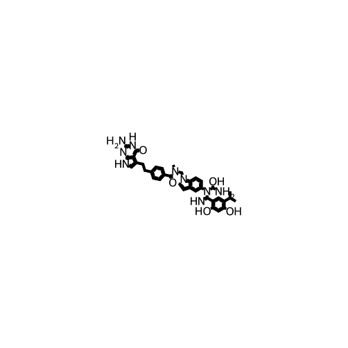 CC(C)c1cc(C(=N)N(c2ccc3c(ccn3CN(C)C(=O)c3ccc(CCc4c[nH]c5nc(N)[nH]c(=O)c45)cc3)c2)C(N)O)c(O)cc1O